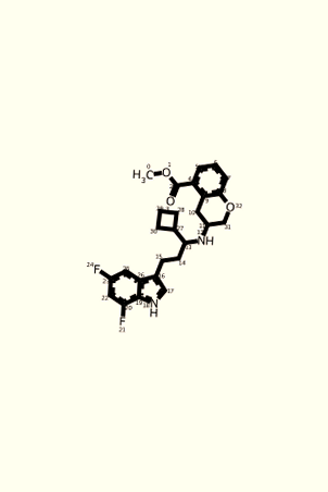 COC(=O)c1cccc2c1CC(NC(CCc1c[nH]c3c(F)cc(F)cc13)C1CCC1)CO2